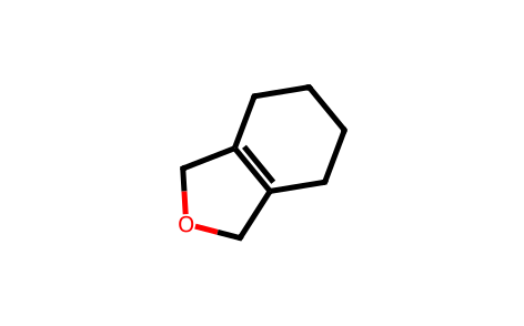 C1CCC2=C(C1)COC2